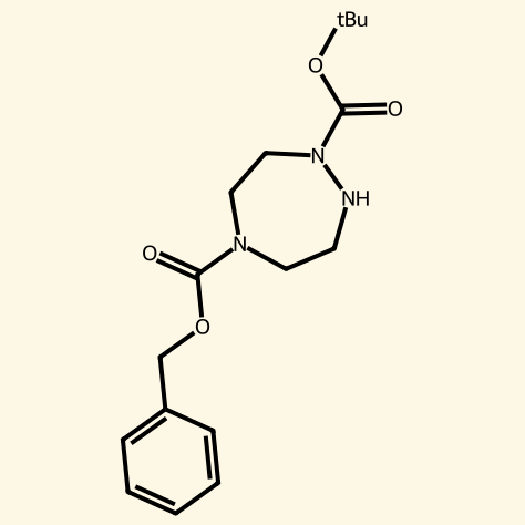 CC(C)(C)OC(=O)N1CCN(C(=O)OCc2ccccc2)CCN1